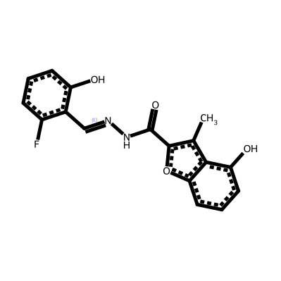 Cc1c(C(=O)N/N=C/c2c(O)cccc2F)oc2cccc(O)c12